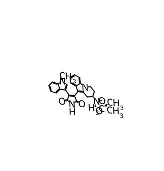 Cn1cc(C2=C(c3c4n(c5ccccc35)CCC(N(C=O)OC(C)(C)C)C4)C(=O)NC2=O)c2ccccc21